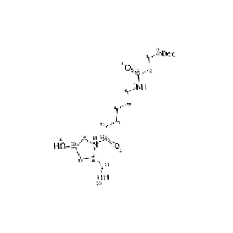 CCCCCCCCCCCCC(=O)NCCCCCC(=O)N1CC(O)C[C@H]1CO